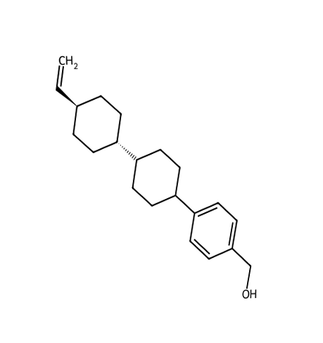 C=C[C@H]1CC[C@H](C2CCC(c3ccc(CO)cc3)CC2)CC1